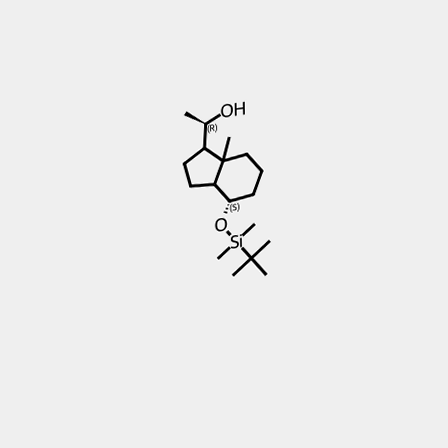 C[C@@H](O)C1CCC2[C@@H](O[Si](C)(C)C(C)(C)C)CCCC21C